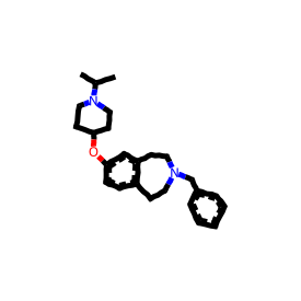 CC(C)N1CCC(Oc2ccc3c(c2)CCN(Cc2ccccc2)CC3)CC1